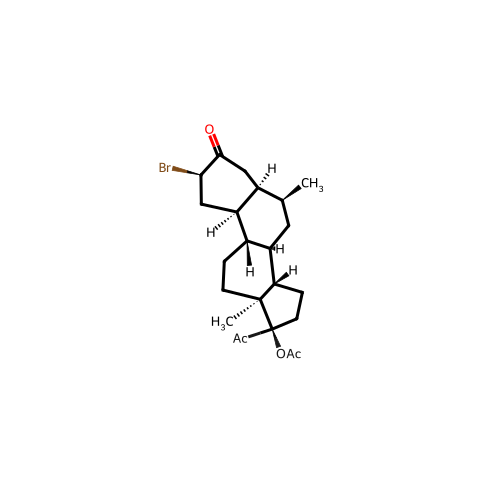 CC(=O)O[C@]1(C(C)=O)CC[C@H]2[C@@H]3C[C@H](C)[C@@H]4CC(=O)[C@H](Br)C[C@@H]4[C@H]3CC[C@@]21C